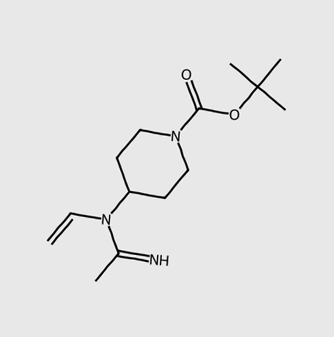 C=CN(C(C)=N)C1CCN(C(=O)OC(C)(C)C)CC1